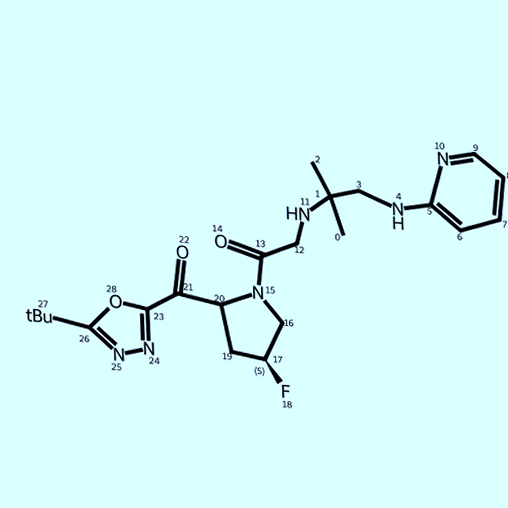 CC(C)(CNc1ccccn1)NCC(=O)N1C[C@@H](F)CC1C(=O)c1nnc(C(C)(C)C)o1